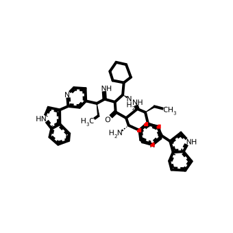 CC[C@H](C(=N)C(C(=O)C(C(=N)[C@@H](CC)c1ccnc(-c2c[nH]c3ccccc23)c1)[C@@H](N)C1CCCCC1)[C@@H](N)C1CCCCC1)c1ccnc(-c2c[nH]c3ccccc23)c1